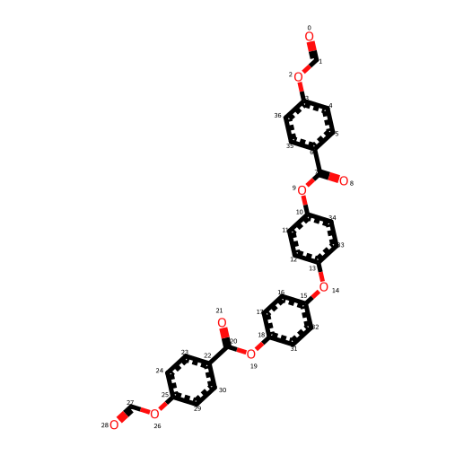 O=COc1ccc(C(=O)Oc2ccc(Oc3ccc(OC(=O)c4ccc(OC=O)cc4)cc3)cc2)cc1